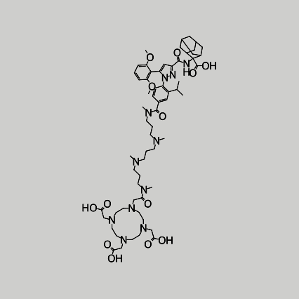 COc1cccc(OC)c1-c1cc(C(=O)NC2(C(=O)O)C3CC4CC(C3)CC2C4)nn1-c1ccc(C(=O)N(C)CCCN(C)CCCN(C)CCCN(C)C(=O)CN2CCN(CC(=O)O)CCN(CC(=O)O)CCN(CC(=O)O)CC2)cc1C(C)C